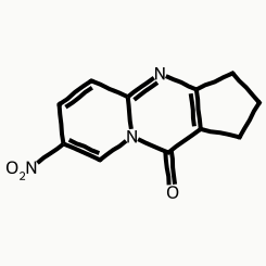 O=c1c2c(nc3ccc([N+](=O)[O-])cn13)CCC2